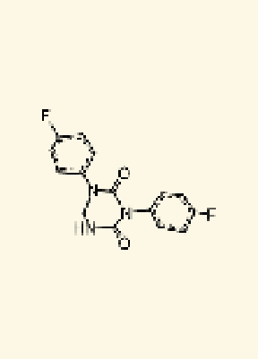 O=C1NCN(c2ccc(F)cc2)C(=O)N1c1ccc(F)cc1